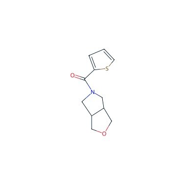 O=C(c1cccs1)N1CC2COCC2C1